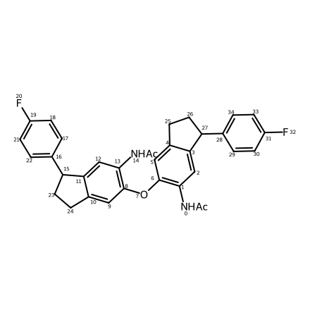 CC(=O)Nc1cc2c(cc1Oc1cc3c(cc1NC(C)=O)C(c1ccc(F)cc1)CC3)CCC2c1ccc(F)cc1